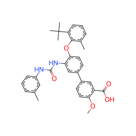 COc1ccc(-c2ccc(Oc3c(C)cccc3C(C)(C)C)c(NC(=O)Nc3cccc(C)c3)c2)cc1C(=O)O